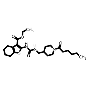 CCCCCC(=O)N1CCC(CNC(=O)Nc2sc3c(c2C(=O)OCC)CCCC3)CC1